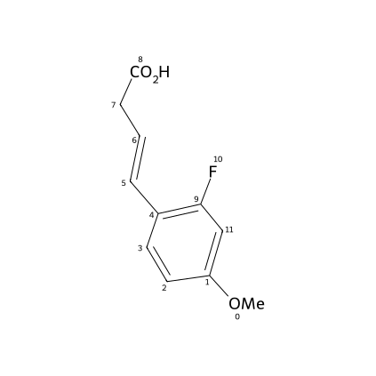 COc1ccc(/C=C/CC(=O)O)c(F)c1